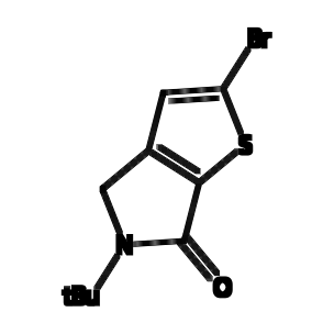 CC(C)(C)N1Cc2cc(Br)sc2C1=O